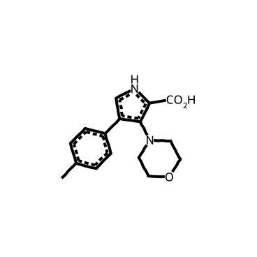 Cc1ccc(-c2c[nH]c(C(=O)O)c2N2CCOCC2)cc1